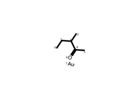 CCC(C)C(C)=O.[Au]